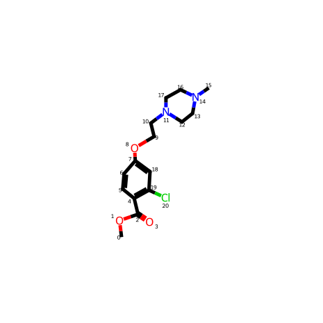 COC(=O)c1ccc(OCCN2CCN(C)CC2)cc1Cl